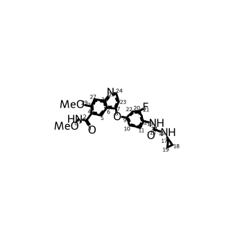 CONC(=O)c1cc2c(Oc3ccc(NC(=O)NC4CC4)c(F)c3)ccnc2cc1OC